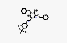 N=C(/C=C/C1=CC(F)C(C(F)(F)P)C=C1)/C=C(/OCc1ccccc1)C(=N)OCc1ccccc1